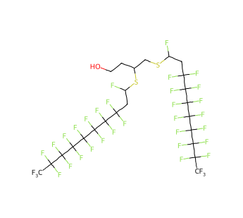 OCCC(CSC(F)CC(F)(F)C(F)(F)C(F)(F)C(F)(F)C(F)(F)C(F)(F)C(F)(F)C(F)(F)F)SC(F)CC(F)(F)C(F)(F)C(F)(F)C(F)(F)C(F)(F)C(F)(F)C(F)(F)C(F)(F)F